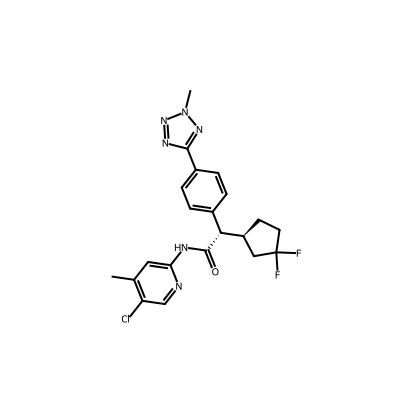 Cc1cc(NC(=O)[C@H](c2ccc(-c3nnn(C)n3)cc2)[C@H]2CCC(F)(F)C2)ncc1Cl